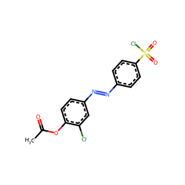 CC(=O)Oc1ccc(N=Nc2ccc(S(=O)(=O)Cl)cc2)cc1Cl